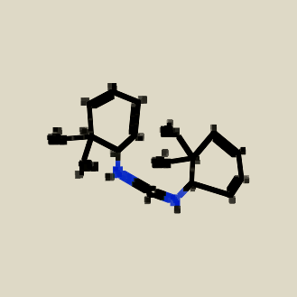 CC(C)(C)C1(C(C)(C)C)C=CC=CC1N=C=NC1C=CC=CC1(C(C)(C)C)C(C)(C)C